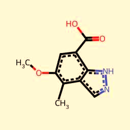 COc1cc(C(=O)O)c2[nH]ncc2c1C